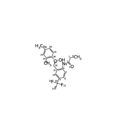 CCC(=O)N(O)c1ccc(C(F)(F)F)cc1COc1ccc(C)cc1C